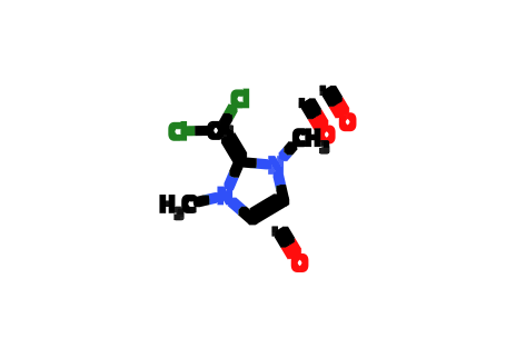 Cn1ccn(C)[c]1=[Os]([Cl])[Cl].[C]=O.[C]=O.[C]=O